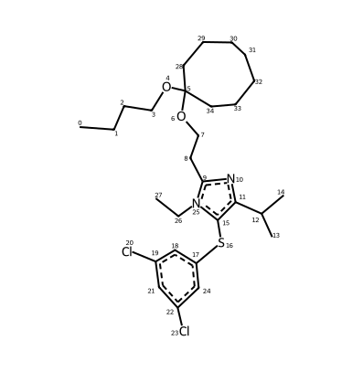 CCCCOC1(OCCc2nc(C(C)C)c(Sc3cc(Cl)cc(Cl)c3)n2CC)CCCCCCC1